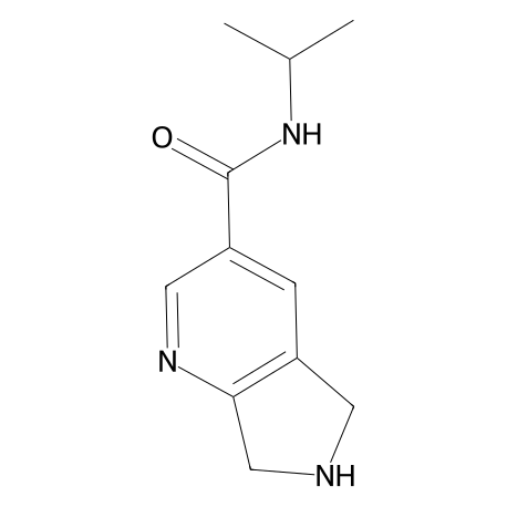 CC(C)NC(=O)c1cnc2c(c1)CNC2